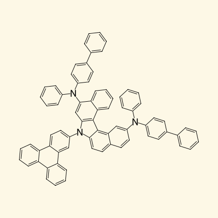 c1ccc(-c2ccc(N(c3ccccc3)c3ccc4ccc5c(c4c3)c3c4ccccc4c(N(c4ccccc4)c4ccc(-c6ccccc6)cc4)cc3n5-c3ccc4c5ccccc5c5ccccc5c4c3)cc2)cc1